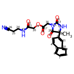 C[C@@]1(c2ccc3ccccc3c2)NC(=O)N(CC(=O)OCC(=O)NCCC#N)C1=O